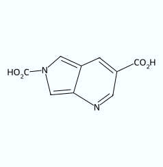 O=C(O)c1cnc2cn(C(=O)O)cc2c1